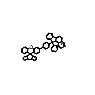 Cc1ccccc1C1(c2ccc(-c3ccc4c(c3)Oc3ccccc3C43c4ccccc4-c4ccccc43)cc2)c2ccccc2-c2ccc3ccccc3c21